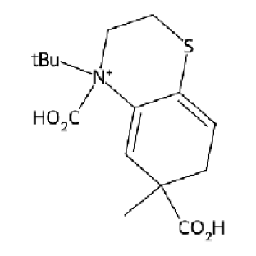 CC1(C(=O)O)C=C2C(=CC1)SCC[N+]2(C(=O)O)C(C)(C)C